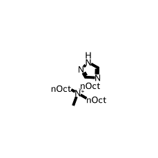 CCCCCCCC[N+](C)(CCCCCCCC)CCCCCCCC.c1nc[nH]n1